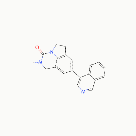 CN1Cc2cc(-c3cncc4ccccc34)cc3c2N(CC3)C1=O